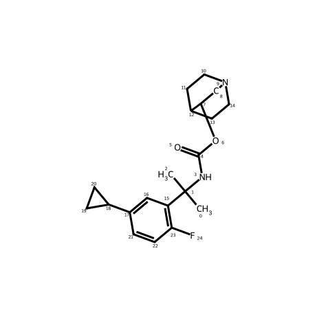 CC(C)(NC(=O)OC1CN2CCC1CC2)c1cc(C2CC2)ccc1F